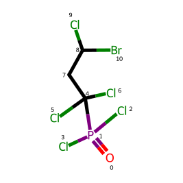 O=P(Cl)(Cl)C(Cl)(Cl)CC(Cl)Br